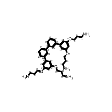 NCCCOc1cc(OCCCN)cc(-c2cccc(-c3cccc(-c4cc(OCCCN)cc(OCCCN)c4)c3)c2)c1